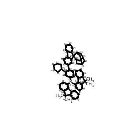 CC1(C)c2ccccc2-c2c(N(c3ccc(-c4ccc5c(c4)C4(c6ccccc6-5)C5CC6CC(C5)CC4C6)c(C4CCCCC4)c3)c3cccc4c3-c3ccccc3C4(C)C)cccc21